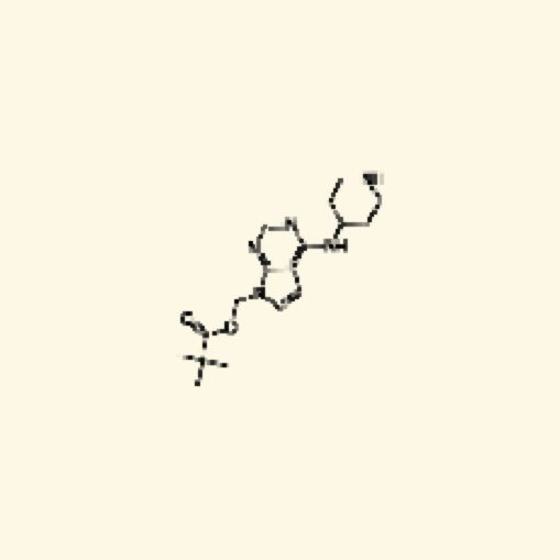 CC(C)(C)C(=O)OCn1ccc2c(NC3CCNCC3)ncnc21